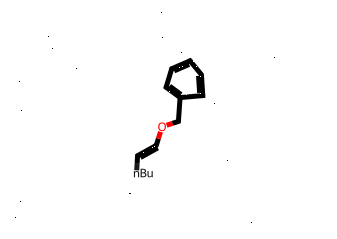 CCCC/C=C/OCc1ccccc1